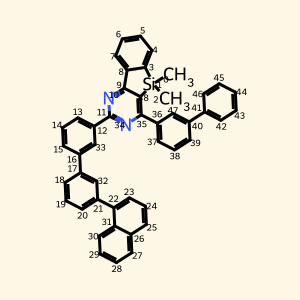 C[Si]1(C)c2ccccc2-c2nc(-c3cccc(-c4cccc(-c5cccc6ccccc56)c4)c3)nc(-c3cccc(-c4ccccc4)c3)c21